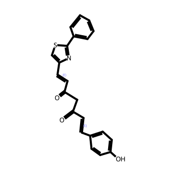 O=C(/C=C/c1ccc(O)cc1)CC(=O)/C=C/c1csc(-c2ccccc2)n1